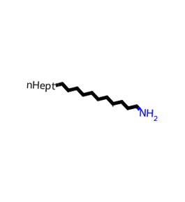 CCCCCCCCCCCCCC[CH]CCCN